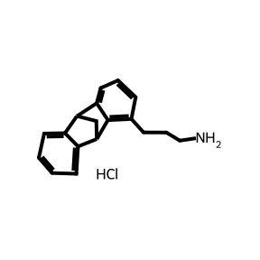 Cl.NCCCc1cccc2c1C1CC2c2ccccc21